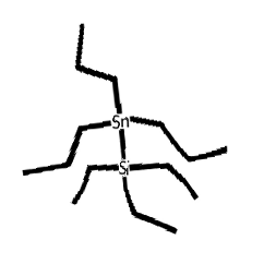 CC[CH2][Sn]([CH2]CC)([CH2]CC)[Si](CC)(CC)CC